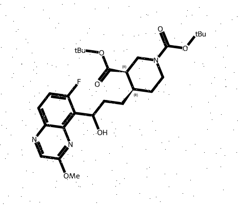 COc1cnc2ccc(F)c(C(O)CC[C@@H]3CCN(C(=O)OC(C)(C)C)C[C@@H]3C(=O)OC(C)(C)C)c2n1